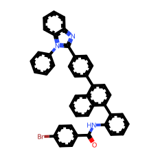 O=C(Nc1ccccc1-c1ccc(-c2ccc(-c3nc4ccccc4n3-c3ccccc3)cc2)c2ccccc12)c1ccc(Br)cc1